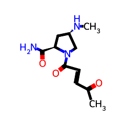 CN[C@H]1C[C@H](C(N)=O)N(C(=O)/C=C/C(C)=O)C1